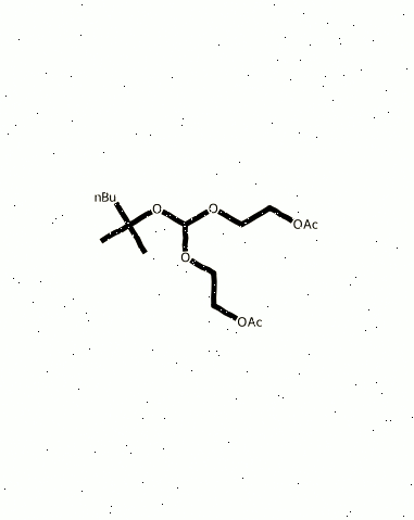 CCCCC(C)(C)OC(OCCOC(C)=O)OCCOC(C)=O